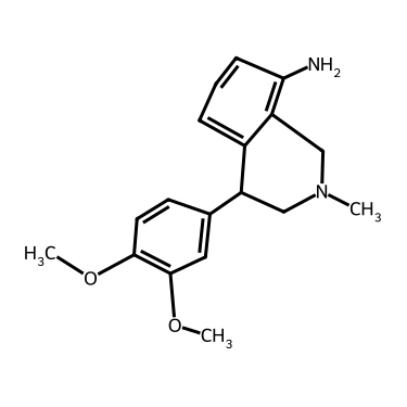 COc1ccc(C2CN(C)Cc3c(N)cccc32)cc1OC